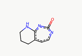 O=c1nccc2c(n1)NCCC2